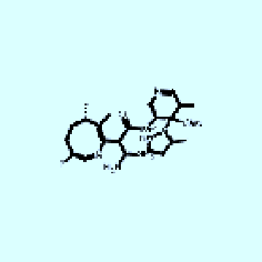 CCCCCCC1(N2NCCC2C)C(C)C=NCC1NC(=O)C(/C1=C(\C)[C@@H](C)CCC(F)=C=N1)C(N)N